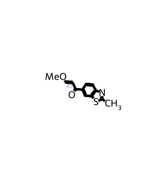 CO/C=C/C(=O)c1ccc2nc(C)sc2c1